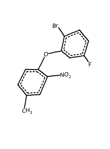 Cc1ccc(Oc2cc(F)ccc2Br)c([N+](=O)[O-])c1